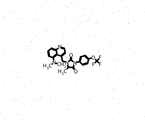 CC1C(=O)N(c2ccc(OC(F)(F)F)cc2)C(=O)N1Cc1ccnc2cccc(N(C)C)c12